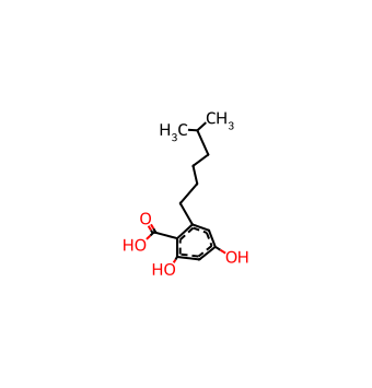 CC(C)CCCCc1cc(O)cc(O)c1C(=O)O